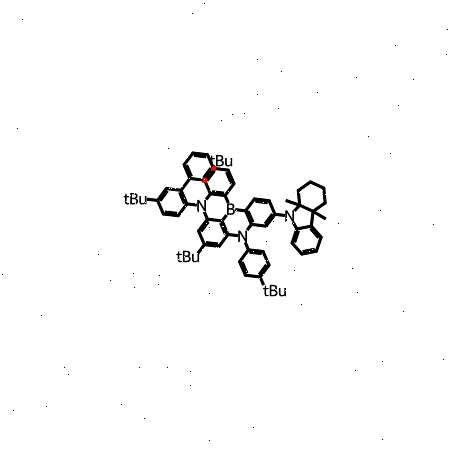 CC(C)(C)c1ccc(N2c3cc(N4c5ccccc5C5(C)CCCCC45C)ccc3B3c4ccc(C(C)(C)C)cc4N(c4ccc(C(C)(C)C)cc4-c4ccccc4)c4cc(C(C)(C)C)cc2c43)cc1